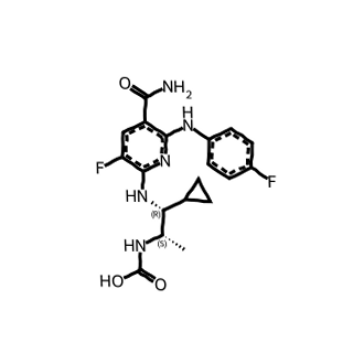 C[C@H](NC(=O)O)[C@H](Nc1nc(Nc2ccc(F)cc2)c(C(N)=O)cc1F)C1CC1